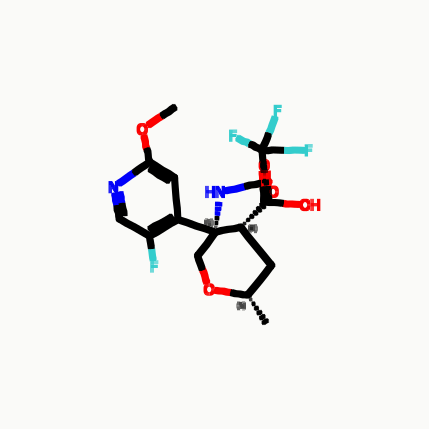 COc1cc([C@]2(NC(=O)C(F)(F)F)CO[C@@H](C)C[C@H]2C(=O)O)c(F)cn1